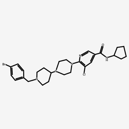 O=C(NC1CCCC1)c1cnc(N2CCN(C3CCN(Cc4ccc(Br)cc4)CC3)CC2)c(Cl)c1